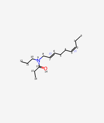 CC/C=C\CC/C=C/CN(CCC)C(=O)CC